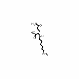 NCCCCCCN[C@@H](CCC(N)=O)C(=O)O